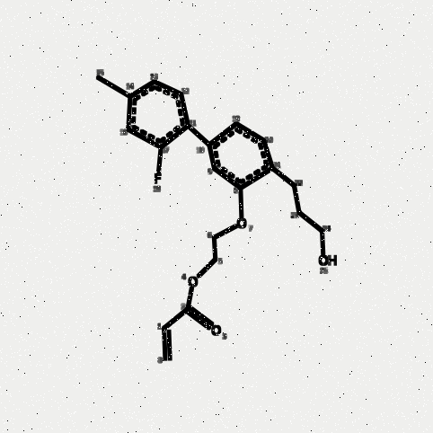 C=CC(=O)OCCOc1cc(-c2ccc(C)cc2F)ccc1CCCO